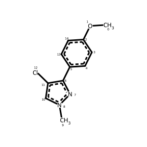 COc1ccc(-c2nn(C)cc2Cl)cc1